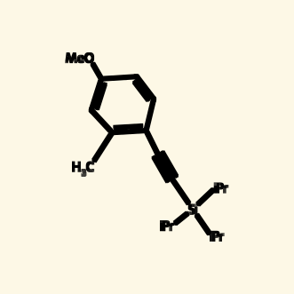 COc1ccc(C#C[Si](C(C)C)(C(C)C)C(C)C)c(C)c1